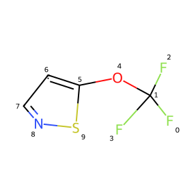 FC(F)(F)Oc1[c]cns1